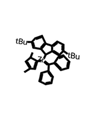 CC1=CC(C)[C]([Zr](=[C](c2ccccc2)c2ccccc2)[CH]2c3cc(C(C)(C)C)ccc3-c3ccc(C(C)(C)C)cc32)=C1